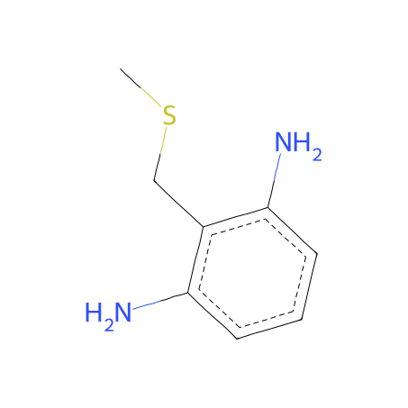 CSCc1c(N)cccc1N